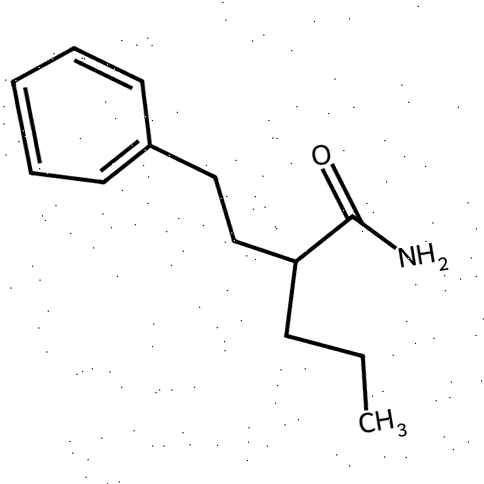 CCCC(CCc1ccccc1)C(N)=O